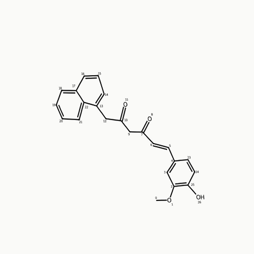 COc1cc(C=CC(=O)CC(=O)Cc2cccc3ccccc23)ccc1O